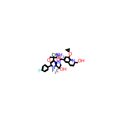 CC1(C(N)=O)COc2c1cc(C(O)(CNC(=O)c1cc(OC3CC3)c3nc(CO)ccc3c1)C(F)(F)F)nc2-c1ccc(F)cc1